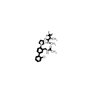 CNC(O[C@H]1CCN(c2ccc(-c3ccccc3Cl)cc2CNC(C)=O)C1)[C@H](C)C(F)(F)F